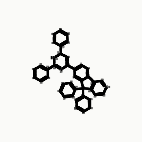 C1=C(c2ccc3c(c2)C(c2ccccc2)(c2ccccc2)c2ccncc2-3)N=C(c2ccccc2)NC1c1ccccc1